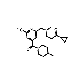 CC1CCN(C(=O)c2cc(CN(C)CCC(=O)C3CC3)nc(C(F)(F)F)n2)CC1